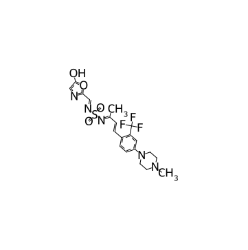 CC(C=Cc1ccc(N2CCN(C)CC2)cc1C(F)(F)F)=NS(=O)(=O)N=Cc1ncc(O)o1